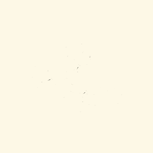 C=CC1C[C@]1(NC(=O)[C@@H]1C[C@@H](n2c(=O)[nH]c3ccccc32)CN1C(=O)[C@@H](NC(=O)OC1CCCC1)C(C)(C)C)P(=O)(O)O